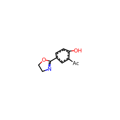 CC(=O)c1cc(C2=NCCO2)ccc1O